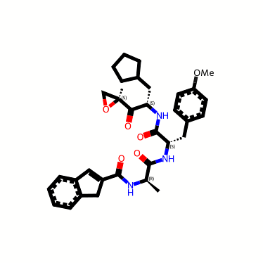 COc1ccc(C[C@H](NC(=O)[C@@H](C)NC(=O)C2=Cc3ccccc3C2)C(=O)N[C@@H](CC2CCCC2)C(=O)[C@]2(C)CO2)cc1